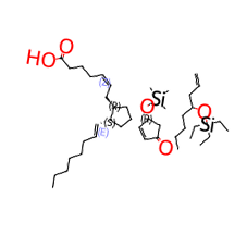 C=CCC(CCCC)O[Si](CC)(CC)CC.CCCCCC/C=C/[C@H]1CCC[C@@H]1C/C=C\CCCC(=O)O.C[Si](C)(C)O[C@H]1C=CC(=O)C1